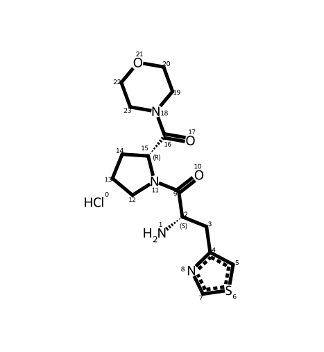 Cl.N[C@@H](Cc1cscn1)C(=O)N1CCC[C@@H]1C(=O)N1CCOCC1